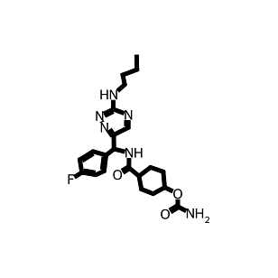 CCCCNc1ncc(C(NC(=O)C2CCC(OC(N)=O)CC2)c2ccc(F)cc2)nn1